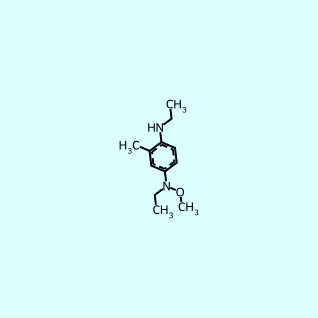 CCNc1ccc(N(CC)OC)cc1C